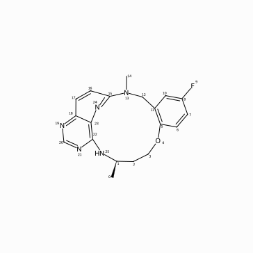 C[C@@H]1CCOc2ccc(F)cc2CN(C)c2ccc3ncnc(c3n2)N1